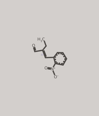 CC/C(C=O)=C\c1ccccc1[N+](=O)[O-]